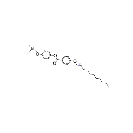 CCCCCCCCC/C=C/Oc1ccc(C(=O)Oc2ccc(OC[C@@H](C)CC)cc2)cc1